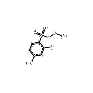 CCc1cc(C)ccc1S(=O)(=O)OOC(C)(C)C